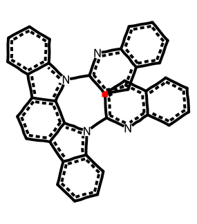 c1ccc2nc(-n3c4ccccc4c4ccc5c6ccccc6n(-c6ccc7ccccc7n6)c5c43)ccc2c1